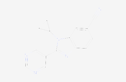 N#Cc1ccc2nc(-c3cncnc3)n(C3CC3)c2c1